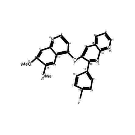 COc1cc2nccc(Oc3cc4cccnc4nc3-c3ccc(F)cc3)c2cc1OC